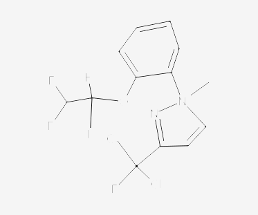 C[N+]1(c2ccccc2OC(F)(F)C(F)F)C=CC(C(F)(Cl)Cl)=N1